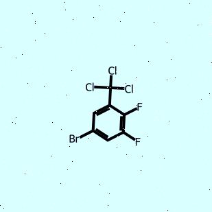 Fc1cc(Br)cc(C(Cl)(Cl)Cl)c1F